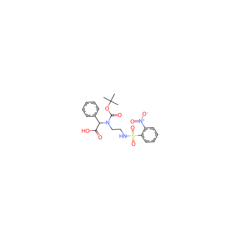 CC(C)(C)OC(=O)N(CCNS(=O)(=O)c1ccccc1[N+](=O)[O-])C(C(=O)O)c1ccccc1